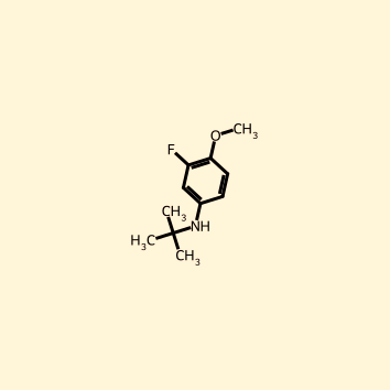 COc1ccc(NC(C)(C)C)cc1F